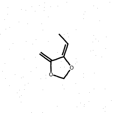 C=C1OCO/C1=C/C